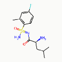 Cc1cc(F)ccc1S(N)(=O)=NC(=O)[C@@H](N)CC(C)C